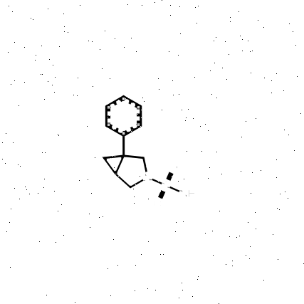 NS(=O)(=O)N1CC2CC2(c2ccccc2)C1